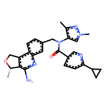 Cc1nn(C)cc1N(Cc1ccc2c3c(c(N)nc2c1)[C@H](C)OC3)C(=O)c1ccc(C2CC2)nc1